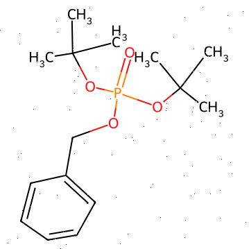 CC(C)(C)OP(=O)(OCc1ccccc1)OC(C)(C)C